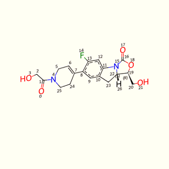 O=C(CO)N1CC=C(c2cc3c(cc2F)N2C(=O)O[C@@H](CO)[C@@H]2C3)CC1